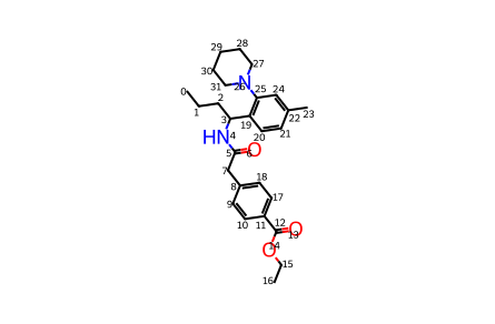 CCCC(NC(=O)Cc1ccc(C(=O)OCC)cc1)c1ccc(C)cc1N1CCCCC1